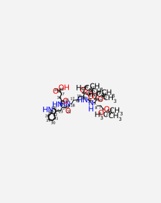 CC(C)(C)OC(=O)CC[C@H](NC(=O)N[C@@H](CCCCNC(=O)[C@@H](Cc1c[nH]c2ccccc12)NC(=O)CCC(=O)O)C(=O)OC(C)(C)C)C(=O)OC(C)(C)C